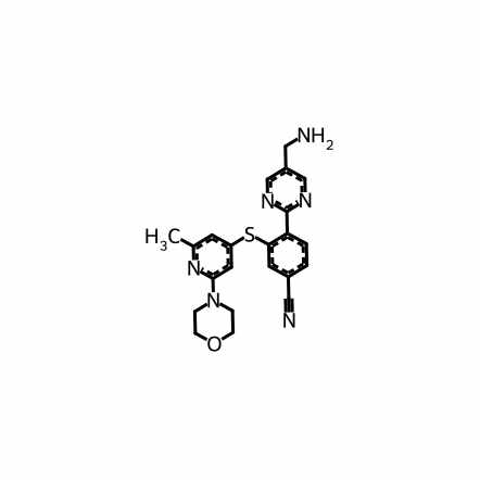 Cc1cc(Sc2cc(C#N)ccc2-c2ncc(CN)cn2)cc(N2CCOCC2)n1